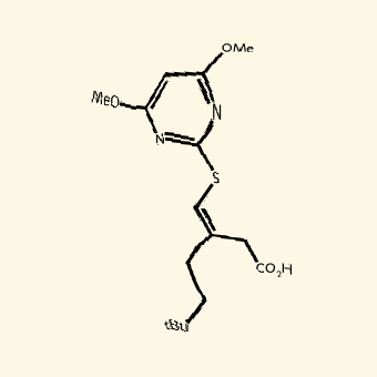 COc1cc(OC)nc(SC=C(CCC(C)(C)C)CC(=O)O)n1